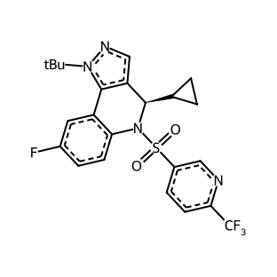 CC(C)(C)n1ncc2c1-c1cc(F)ccc1N(S(=O)(=O)c1ccc(C(F)(F)F)nc1)[C@@H]2C1CC1